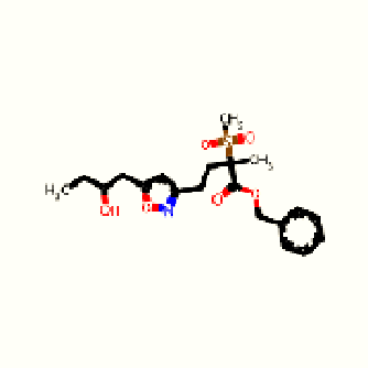 CCC(O)Cc1cc(CCC(C)(C(=O)OCc2ccccc2)S(C)(=O)=O)no1